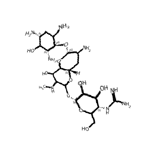 CNC1C(O[C@H]2OC(CO)[C@@H](NC(=N)N)C(O)C2O)O[C@H]2CC(N)[C@@H](O[C@@H]3C(N)C[C@@H](N)C(O)[C@H]3N)OC2C1O